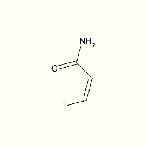 NC(=O)/C=C\F